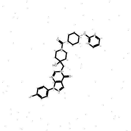 O=c1c2cnn(-c3ccc(F)cc3)c2ncn1CC1(O)CCN(C(=O)[C@H]2CC[C@@H](Oc3ncccn3)CC2)CC1